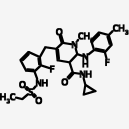 CCS(=O)(=O)Nc1cccc(CC2=CC(C(=O)NC3CC3)C(Nc3ccc(C)cc3F)N(C)C2=O)c1F